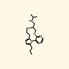 CCCc1ccc(CCC)n1-c1cccnc1OCC(O)CNC(C)C